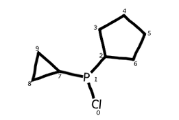 ClP(C1CCCC1)C1CC1